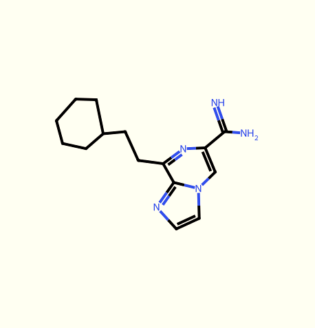 N=C(N)c1cn2ccnc2c(CCC2CCCCC2)n1